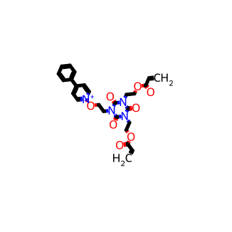 C=CC(=O)OCCn1c(=O)n(CCOC(=O)C=C)c(=O)n(CCO[n+]2ccc(-c3ccccc3)cc2)c1=O